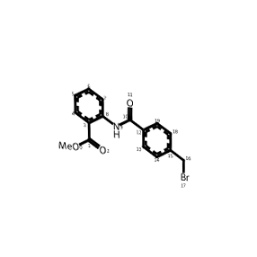 COC(=O)c1ccccc1NC(=O)c1ccc(CBr)cc1